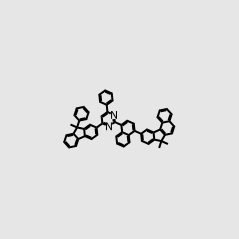 CC1(C)c2ccc(-c3ccc(-c4nc(-c5ccccc5)cc(-c5ccc6c(c5)C(C)(c5ccccc5)c5ccccc5-6)n4)c4ccccc34)cc2-c2c1ccc1ccccc21